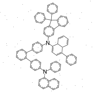 C1=CC2C(c3ccccc3)=CC=C(N(c3ccc(-c4ccccc4-c4ccc(N(c5ccccc5)c5cccc6ccccc56)cc4)cc3)c3ccc4c(c3)-c3ccccc3C4(c3ccccc3)c3ccccc3)C2C=C1